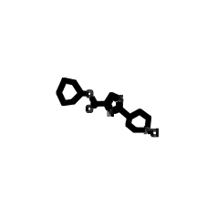 O=C(OC1CCCCC1)c1csc(C2CCN(Cl)CC2)n1